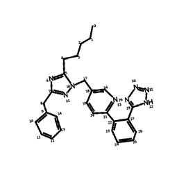 CCCCCc1nc(Cc2ccccc2)nn1Cc1ccc(-c2ccccc2-c2nnn[nH]2)nc1